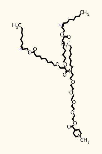 CCCCCC/C=C\COC(=O)CCCCCCCOCC(OCCCCCCCC(=O)OC/C=C\CCCCCC)C(=O)N(CCCCCCCC)CCOCCOCCOCCOCCOC(=O)C1CCN(C)CC1